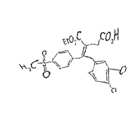 CCOC(=O)/C(CC(=O)O)=C(\c1ccc(S(C)(=O)=O)cc1)c1ccc(Cl)c(Cl)c1